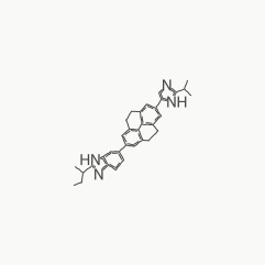 CCC(C)c1nc2ccc(-c3cc4c5c(c3)CCc3cc(-c6cnc(C(C)C)[nH]6)cc(c3-5)CC4)cc2[nH]1